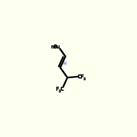 CCCC/C=C/C(C(F)(F)F)C(F)(F)F